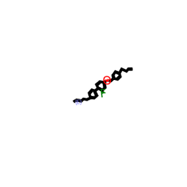 C=CCCc1ccc(COc2ccc(-c3ccc(CC/C=C/C)cc3)c(F)c2)cc1